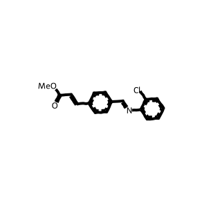 COC(=O)C=Cc1ccc(C=Nc2ccccc2Cl)cc1